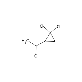 CC([O])C1CC1(Cl)Cl